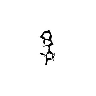 Cc1nnc(-c2cc3ccccc3o2)n1C